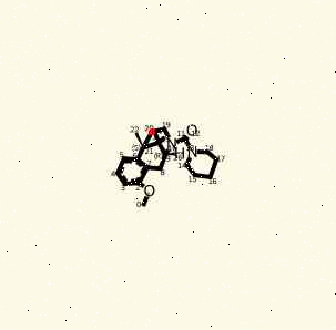 COc1cccc2c1C[C@H]1N(C(=O)N3CCCCC3)CC[C@]2(C)C1(C)C